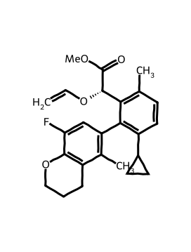 C=CO[C@H](C(=O)OC)c1c(C)ccc(C2CC2)c1-c1cc(F)c2c(c1C)CCCO2